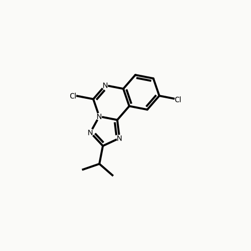 CC(C)c1nc2c3cc(Cl)ccc3nc(Cl)n2n1